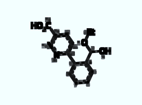 CCOC(O)c1ccccc1-c1ccc(C(=O)O)nn1